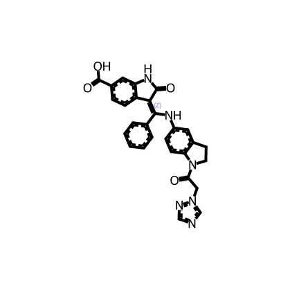 O=C1Nc2cc(C(=O)O)ccc2/C1=C(/Nc1ccc2c(c1)CCN2C(=O)Cn1cncn1)c1ccccc1